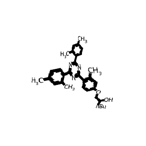 CCCCC(O)COc1ccc(-c2nc(-c3ccc(C)cc3C)nc(-c3ccc(C)cc3C)n2)c(C)c1